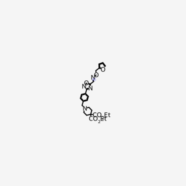 CCOC(=O)C1(C(=O)OCC)CCN(Cc2ccc(-c3noc(/C=N/OCc4ccco4)n3)cc2)CC1